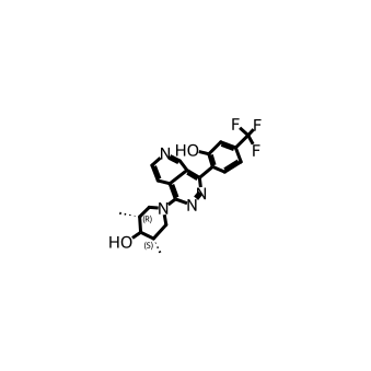 C[C@@H]1CN(c2nnc(-c3ccc(C(F)(F)F)cc3O)c3cnccc23)C[C@H](C)C1O